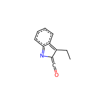 CCC1=c2ccccc2=NC1=C=O